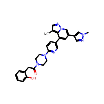 Cn1cc(-c2cc(-c3ccc(N4CCN(C(=O)Cc5ccccc5O)CC4)nc3)c3c(C#N)cnn3c2)cn1